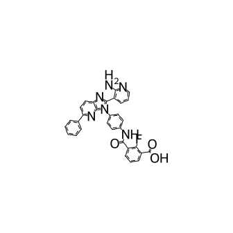 Nc1ncccc1-c1nc2ccc(-c3ccccc3)nc2n1-c1ccc(NC(=O)c2cccc(C(=O)O)c2F)cc1